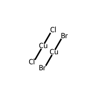 [Br][Cu][Br].[Cl][Cu][Cl]